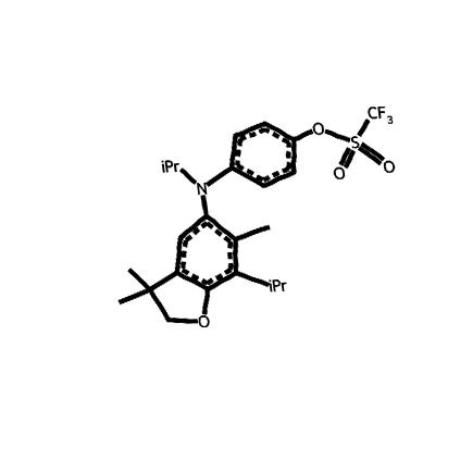 Cc1c(N(c2ccc(OS(=O)(=O)C(F)(F)F)cc2)C(C)C)cc2c(c1C(C)C)OCC2(C)C